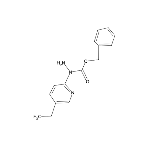 NN(C(=O)OCc1ccccc1)c1ccc(CC(F)(F)F)cn1